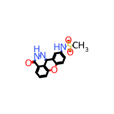 CS(=O)(=O)Nc1ccc2c(c1)-c1n[nH]c(=O)c3cccc(c13)O2